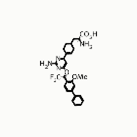 COc1cc(-c2ccccc2)ccc1[C@@H](Oc1cc(C2=CCC(C[C@H](N)C(=O)O)CC2)nc(N)n1)C(F)(F)F